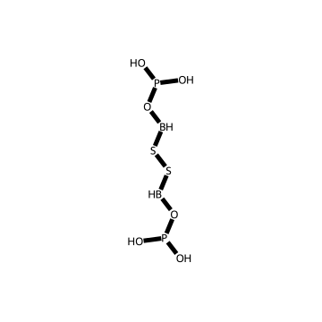 OP(O)OBSSBOP(O)O